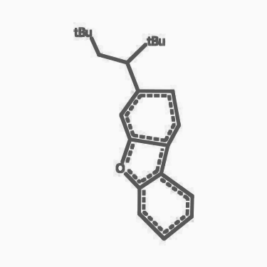 CC(C)(C)CC(c1ccc2c(c1)oc1ccccc12)C(C)(C)C